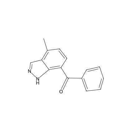 Cc1ccc(C(=O)c2ccccc2)c2[nH]ncc12